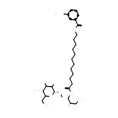 CC[C@@H](O)[C@@H](O)[C@H](CO[C@H]1OC(CO)[C@H](O)C(O)C1O)NC(=O)CCCCCCCCCCCNC(=O)c1cccc(OC)c1